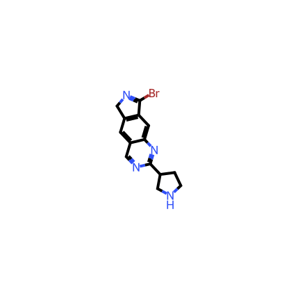 BrC1=NCc2cc3cnc(C4CCNC4)nc3cc21